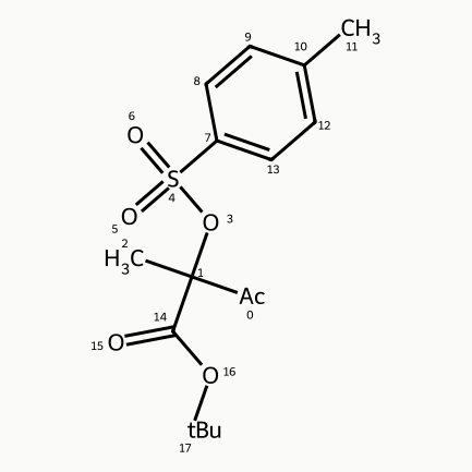 CC(=O)C(C)(OS(=O)(=O)c1ccc(C)cc1)C(=O)OC(C)(C)C